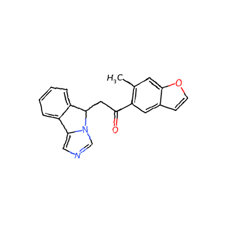 Cc1cc2occc2cc1C(=O)CC1c2ccccc2-c2cncn21